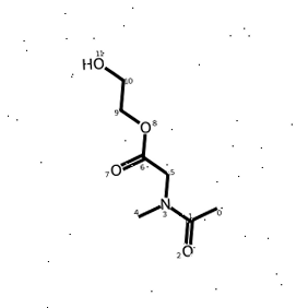 [CH2]C(=O)N(C)CC(=O)OCCO